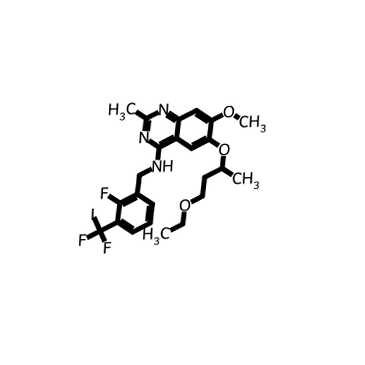 CCOCCC(C)Oc1cc2c(NCc3cccc(C(F)(F)I)c3F)nc(C)nc2cc1OC